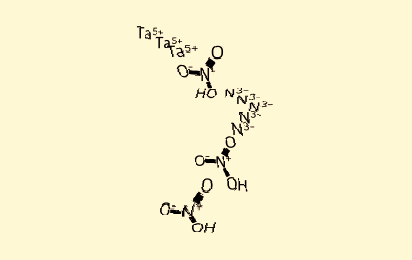 O=[N+]([O-])O.O=[N+]([O-])O.O=[N+]([O-])O.[N-3].[N-3].[N-3].[N-3].[N-3].[Ta+5].[Ta+5].[Ta+5]